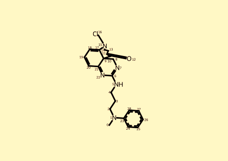 CN(CCCNC1=NCC23CC(=O)CCN(Cl)C2=CC=CC3=N1)c1ccccc1